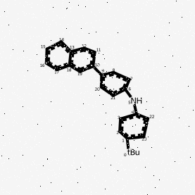 CC(C)(C)c1ccc(Nc2ccc(-c3ccc4ccccc4c3)cc2)cc1